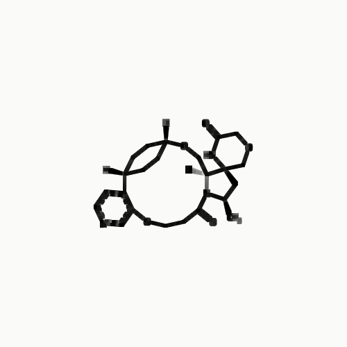 C[C@@H]1C[C@@]2(COCC(=O)N2)[C@@H]2CO[C@H]3CC[C@H](CC3)c3ccncc3OCCC(=O)N12